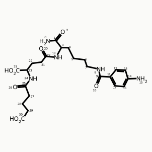 NC(=O)C(CCCCNC(=O)c1ccc(N)cc1)NC(=O)CCC(NC(=O)CCCC(=O)O)C(=O)O